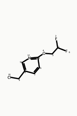 FC(F)COc1ccc(CCl)cn1